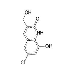 O=c1[nH]c2c(O)cc(Cl)cc2cc1CO